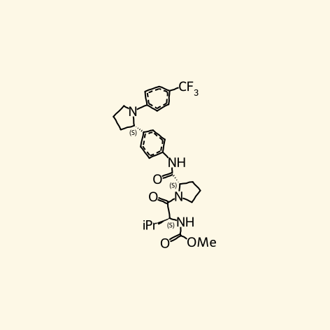 COC(=O)N[C@H](C(=O)N1CCC[C@H]1C(=O)Nc1ccc([C@@H]2CCCN2c2ccc(C(F)(F)F)cc2)cc1)C(C)C